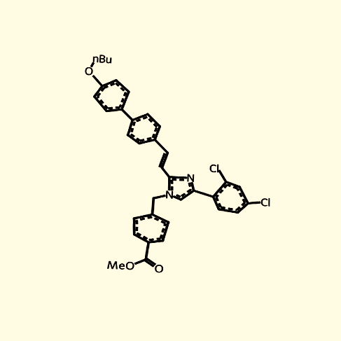 CCCCOc1ccc(-c2ccc(/C=C/c3nc(-c4ccc(Cl)cc4Cl)cn3Cc3ccc(C(=O)OC)cc3)cc2)cc1